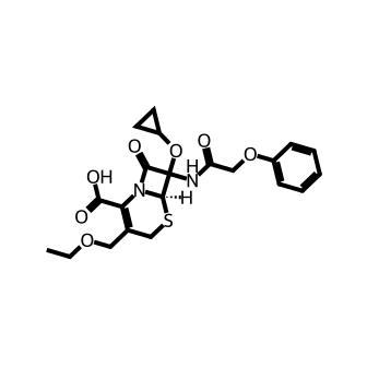 CCOCC1=C(C(=O)O)N2C(=O)C(NC(=O)COc3ccccc3)(OC3CC3)[C@H]2SC1